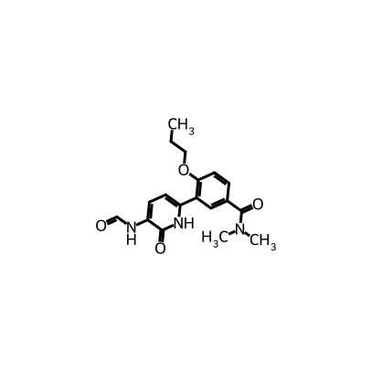 CCCOc1ccc(C(=O)N(C)C)cc1-c1ccc(NC=O)c(=O)[nH]1